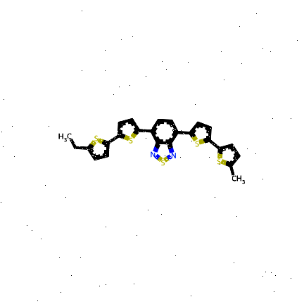 CCc1ccc(-c2ccc(-c3ccc(-c4ccc(-c5ccc(C)s5)s4)c4nsnc34)s2)s1